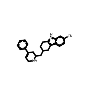 N#Cc1ccc2c3c([nH]c2c1)CCC(CC1CC(c2ccccc2)=CCN1)C3